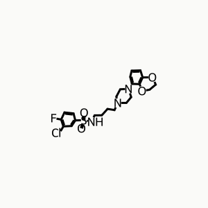 O=S(=O)(NCCCCN1CCN(c2cccc3c2OCCO3)CC1)c1ccc(F)c(Cl)c1